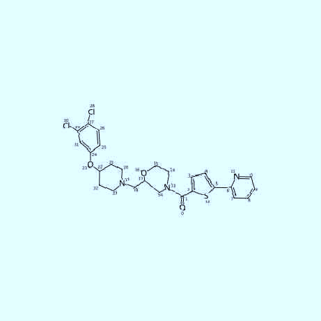 O=C(c1ccc(-c2ccccn2)s1)N1CCOC(CN2CCC(Oc3ccc(Cl)c(Cl)c3)CC2)C1